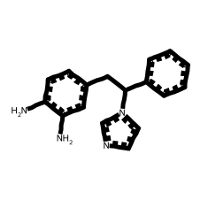 Nc1ccc(CC(c2ccccc2)n2ccnc2)cc1N